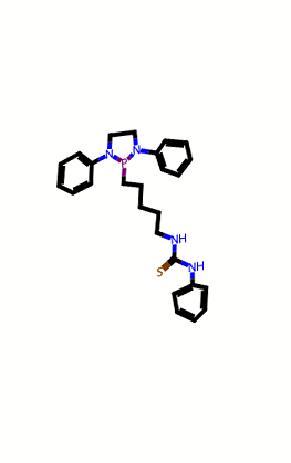 S=C(NCCCCCP1N(c2ccccc2)CCN1c1ccccc1)Nc1ccccc1